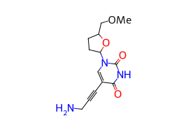 COCC1CCC(n2cc(C#CCN)c(=O)[nH]c2=O)O1